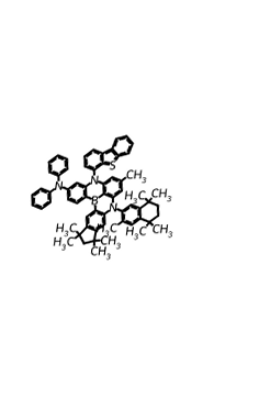 Cc1cc2c3c(c1)N(c1cccc4c1sc1ccccc14)c1cc(N(c4ccccc4)c4ccccc4)ccc1B3c1cc3c(cc1N2c1cc2c(cc1C)C(C)(C)CCC2(C)C)C(C)(C)CC3(C)C